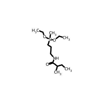 CCO[Si](C)(CCCNC(=O)C(C)CC)OCC